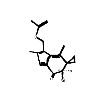 C=C(C)OCC1=C(C)C=C2C(=O)[C@](C)(O)C3(CC3)C(C)=C21